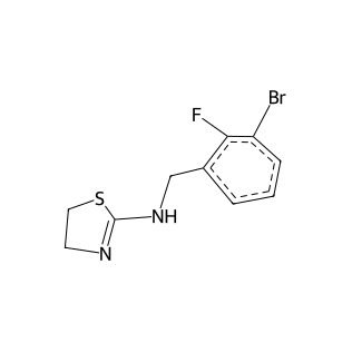 Fc1c(Br)cccc1CNC1=NCCS1